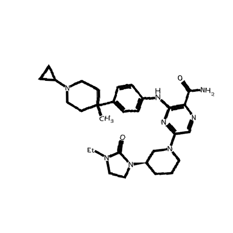 CCN1CCN([C@@H]2CCCN(c3cnc(C(N)=O)c(Nc4ccc(C5(C)CCN(C6CC6)CC5)cc4)n3)C2)C1=O